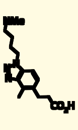 CNCCCCn1nnc2c(C)c(CCC(=O)O)ccc21